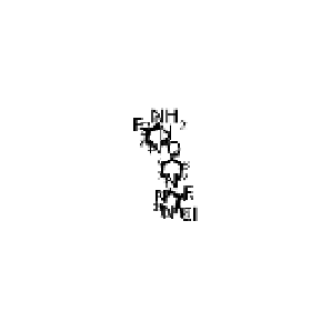 Nc1nc(OC2CCN(c3ncnc(Cl)c3F)CC2)ncc1F